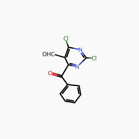 O=Cc1c(Cl)nc(Cl)nc1C(=O)c1ccccc1